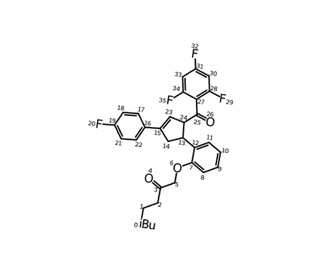 CCC(C)CCC(=O)COc1ccccc1C1CC(c2ccc(F)cc2)=CC1C(=O)c1c(F)cc(F)cc1F